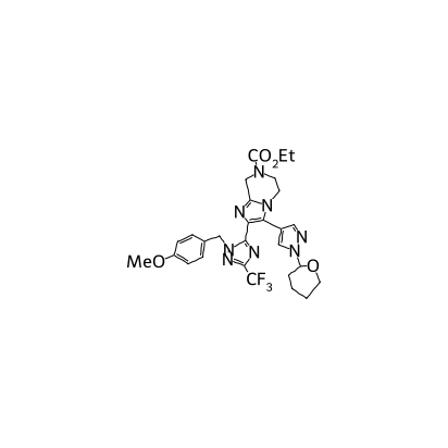 CCOC(=O)N1CCn2c(nc(-c3nc(C(F)(F)F)nn3Cc3ccc(OC)cc3)c2-c2cnn(C3CCCCO3)c2)C1